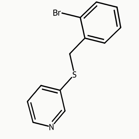 Brc1ccccc1CSc1cccnc1